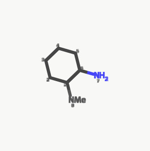 CNC1CCCCC1N